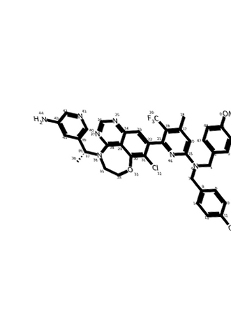 COc1ccc(CN(Cc2ccc(OC)cc2)c2cc(C)c(C(F)(F)F)c(-c3cc4ncnc5c4c(c3Cl)OCCN5[C@H](C)c3cncc(N)c3)n2)cc1